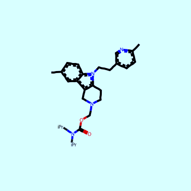 Cc1ccc2c(c1)c1c(n2CCc2ccc(C)nc2)CCN(COC(=O)N(C(C)C)C(C)C)C1